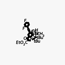 CCOC(=O)c1cn([C@H](C(O[SiH](C)C)C(C)(C)C)C(C)(C)C)c2cc(F)c(C#Cc3ccc(F)cc3F)cc2c1=O